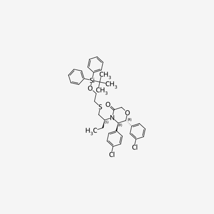 CC[C@@H](CSCCO[Si](c1ccccc1)(c1ccccc1)C(C)(C)C)N1C(=O)CO[C@H](c2cccc(Cl)c2)[C@H]1c1ccc(Cl)cc1